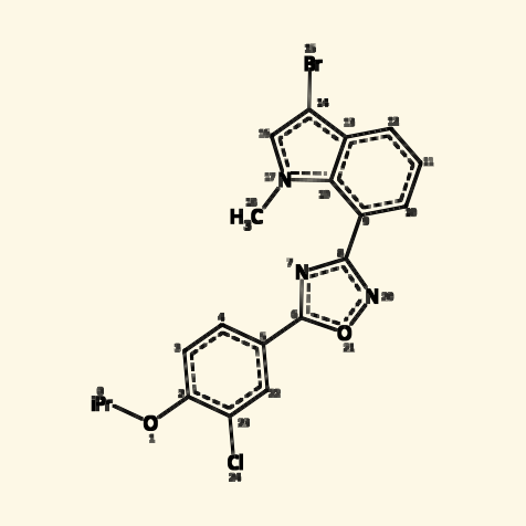 CC(C)Oc1ccc(-c2nc(-c3cccc4c(Br)cn(C)c34)no2)cc1Cl